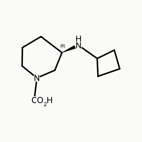 O=C(O)N1CCC[C@@H](NC2CCC2)C1